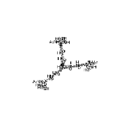 CC(=O)NC1C(OCCCCC(=O)NCCCNC(=O)CCOCC(COCCC(=O)NCCCNC(=O)CCCCOC2OC(CO)C(O)C(O)C2NC(C)=O)(COCCC(=O)NCCCNC(=O)CCCCOC2OC(CO)C(O)C(O)C2NC(C)=O)NC(C)(C)C)OC(CO)C(O)C1O